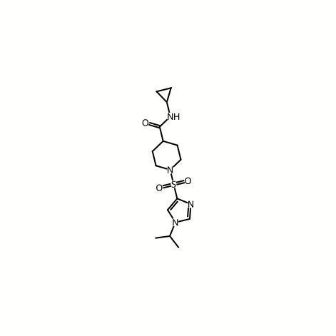 CC(C)n1cnc(S(=O)(=O)N2CCC(C(=O)NC3CC3)CC2)c1